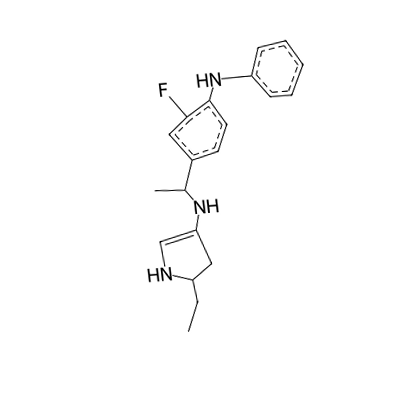 CCC1CC(NC(C)c2ccc(Nc3ccccc3)c(F)c2)=CN1